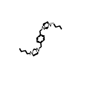 CCCCN1C=CN(Cc2ccc(Cn3cc[n+](CCCC)c3)cc2)C1